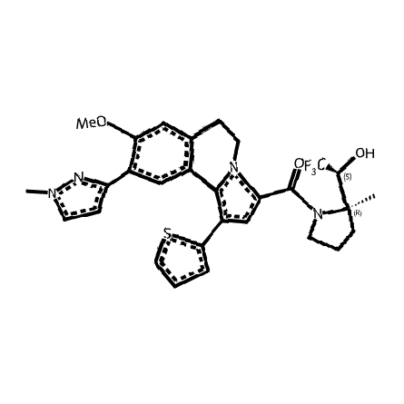 COc1cc2c(cc1-c1ccn(C)n1)-c1c(-c3cccs3)cc(C(=O)N3CCC[C@]3(C)[C@H](O)C(F)(F)F)n1CC2